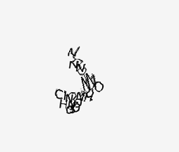 Cc1cc([C@@H](C)Nc2ccc(Cl)nc2C(=O)NS(C)(=O)=O)c2nc(C3CCN(c4ccc(C#N)cn4)CC3)n(C)c(=O)c2c1